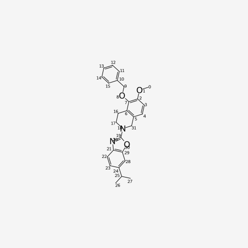 COc1ccc2c(c1OCc1ccccc1)CCN(c1nc3ccc(C(C)C)cc3o1)C2